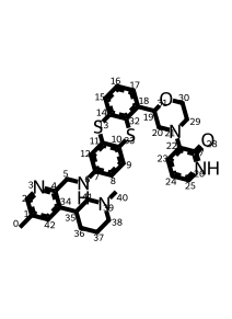 Cc1cnc(CNc2ccc3c(c2)Sc2cccc(C4CN(c5ccc[nH]c5=O)CCO4)c2S3)c(C2CCCN(C)C2)c1